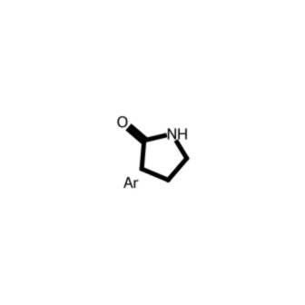 O=C1CCCN1.[Ar]